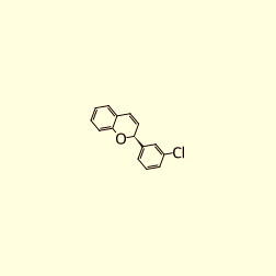 Clc1cccc([C@@H]2C=Cc3ccccc3O2)c1